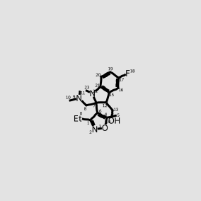 CCc1noc(C)c1C1(CN(C)C)C(CO)c2cc(F)ccc2N1C